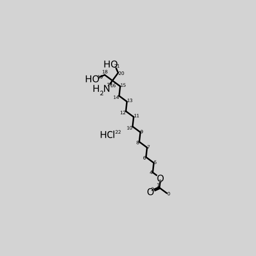 CC(=O)OCCCCCCCCCCCCC(N)(CO)CO.Cl